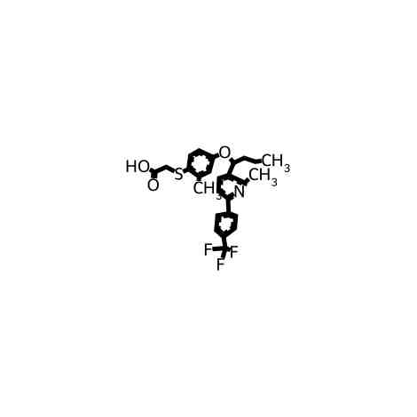 CCCC(Oc1ccc(SCC(=O)O)c(C)c1)c1ccc(-c2ccc(C(F)(F)F)cc2)nc1C